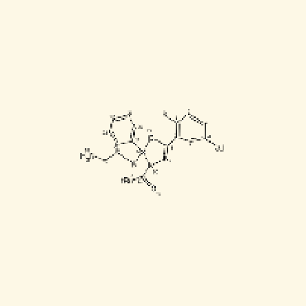 Cc1ccc(Cl)cc1C1=NN(C(=O)C(C)(C)C)C(CCCN)(c2ccccc2)O1